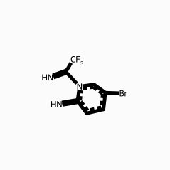 N=C(n1cc(Br)ccc1=N)C(F)(F)F